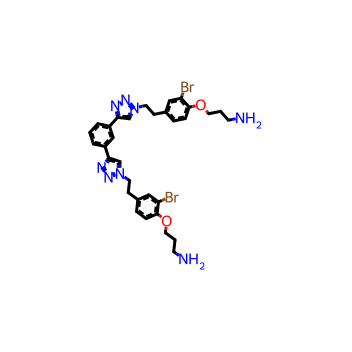 NCCCOc1ccc(CCn2cc(-c3cccc(-c4cn(CCc5ccc(OCCCN)c(Br)c5)nn4)c3)nn2)cc1Br